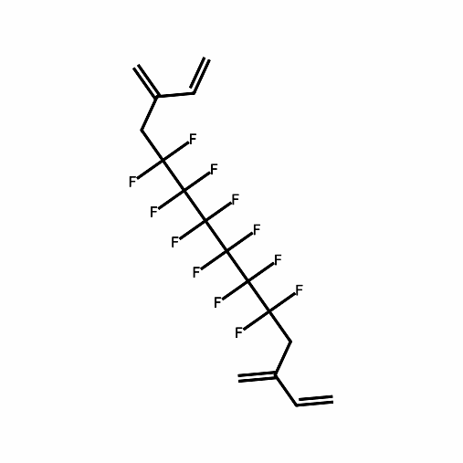 C=CC(=C)CC(F)(F)C(F)(F)C(F)(F)C(F)(F)C(F)(F)C(F)(F)CC(=C)C=C